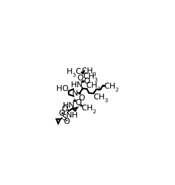 C=CCCC(C)C[C@@H](C)C(NC(=O)OC(C)(C)C)C(=O)N1C[C@H](O)C[C@H]1C(=O)N[C@]1(C(=O)NS(=O)(=O)C2CC2)C[C@H]1C=C